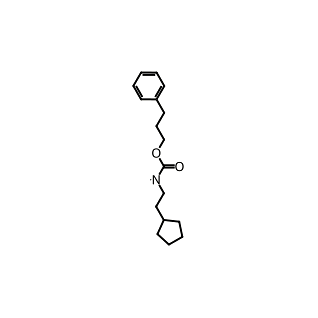 O=C([N]CCC1CCCC1)OCCCc1ccccc1